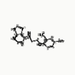 CCCc1ccc(OCCNc2ncnc3sccc23)c(C)c1